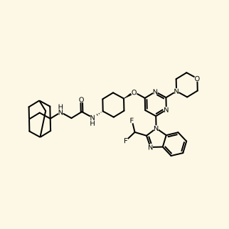 O=C(CNC12CC3CC(CC(C3)C1)C2)N[C@H]1CC[C@H](Oc2cc(-n3c(C(F)F)nc4ccccc43)nc(N3CCOCC3)n2)CC1